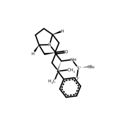 CN(C)CC(=O)N1[C@@H]2CC[C@H]1C[C@H]([C@@H](Cc1ccccc1)N[S@@+]([O-])C(C)(C)C)C2